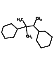 CC(C1CCCCC1)C(C)(C)C1CCCCC1